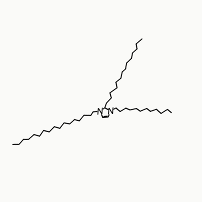 CCCCCCCCCCCCCCCCCN1C=CN(CCCCCCCCCCCC)C1CCCCCCCCCCCCCC